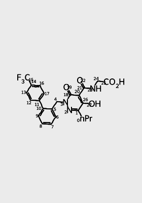 CCCc1nn(Cc2ccccc2-c2ccc(C(F)(F)F)cc2)c(=O)c(C(=O)NCC(=O)O)c1O